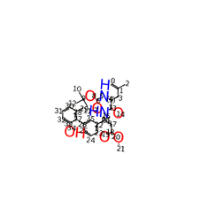 C=C(C)C[C@H](NC(=O)OC(C)(C)C)C(=O)N[C@@H](CC(=O)OC)c1cccc(-c2c(C)cccc2O)c1